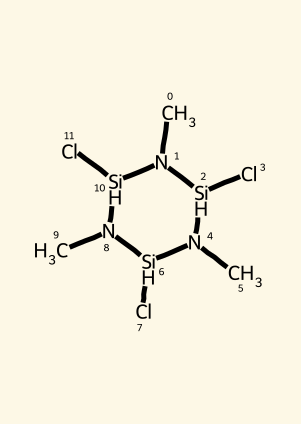 CN1[SiH](Cl)N(C)[SiH](Cl)N(C)[SiH]1Cl